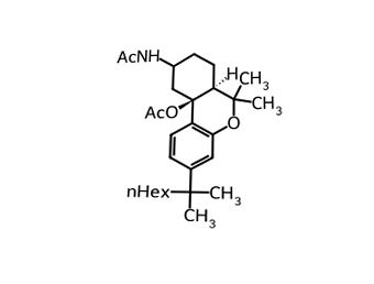 CCCCCCC(C)(C)c1ccc2c(c1)OC(C)(C)[C@@H]1CCC(NC(C)=O)C[C@@]21OC(C)=O